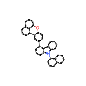 c1ccc2c(-n3c4ccccc4c4c(-c5ccc6c(c5)-c5cccc7cccc(c57)O6)cccc43)cccc2c1